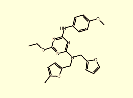 CCOc1nc(Nc2ccc(OC)cc2)nc(N(Cc2ccco2)Cc2ccc(C)o2)n1